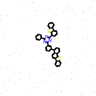 c1ccc(-c2nc(-c3cccc(-c4cccc5c4ccc4c6ccccc6sc54)c3)nc(-c3cccc4c3sc3ccccc34)n2)cc1